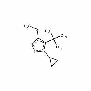 CSc1noc(C2CC2)c1C(C)(C)C